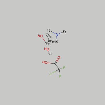 CC(C)O.CCCCCC.CCN(CC)CC.CCO.O=C(O)C(F)(F)F